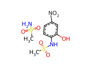 CS(=O)(=O)Nc1ccc([N+](=O)[O-])cc1O.CS(N)(=O)=O